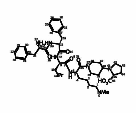 CNCCCC[C@@H](NC(=O)[C@@H](CC(C)C)NC(=O)[C@@H](Cc1ccccc1)NC(=O)[C@H](N)Cc1ccccc1)C(=O)N1CCC(N2CCC[C@H]2C(=O)O)CC1